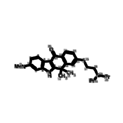 CNc1ccc2c3c([nH]c2c1)C(C)(C)c1cc(SCCN(C(C)C)C(C)C)ccc1C3=O